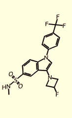 CNS(=O)(=O)c1ccc2c(c1)c(N1CC(F)C1)cn2-c1ccc(C(F)(F)F)cc1